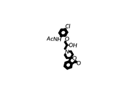 CC(=O)Nc1ccc(Cl)cc1OC[C@@H](O)CN1CCC2(CC1)OC(=O)c1ccccc12